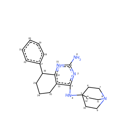 Nc1nc(NC23CCN(CC2)CC3)c2c(n1)C(c1ccccc1)CCC2